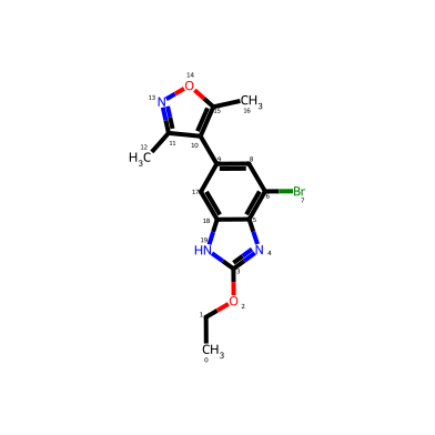 CCOc1nc2c(Br)cc(-c3c(C)noc3C)cc2[nH]1